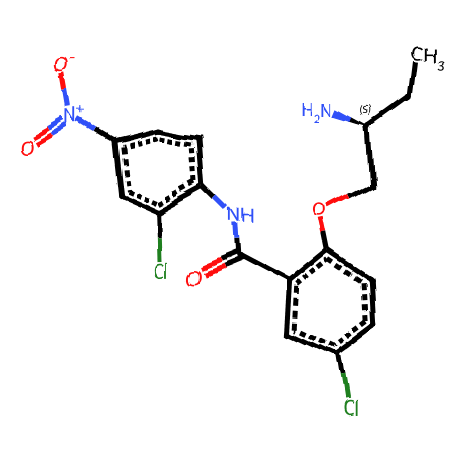 CC[C@H](N)COc1ccc(Cl)cc1C(=O)Nc1ccc([N+](=O)[O-])cc1Cl